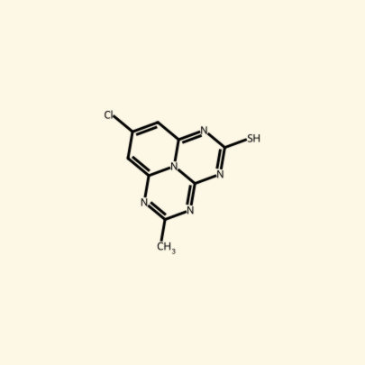 CC1=NC2=CC(Cl)=CC3=NC(S)=NC(=N1)N23